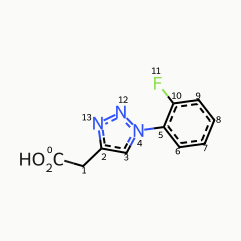 O=C(O)Cc1cn(-c2ccccc2F)nn1